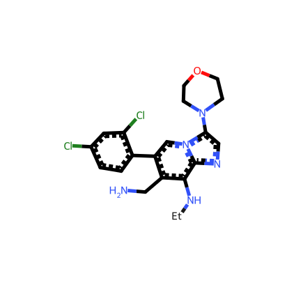 CCNc1c(CN)c(-c2ccc(Cl)cc2Cl)cn2c(N3CCOCC3)cnc12